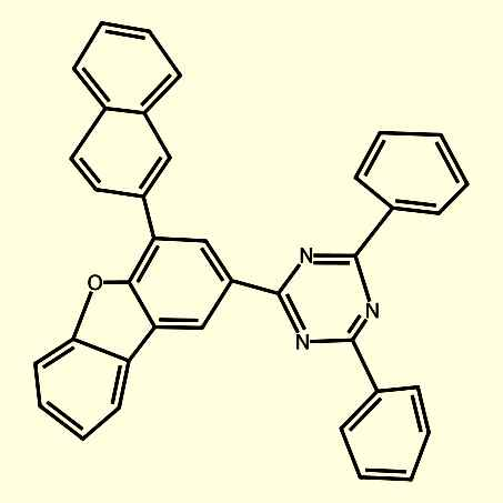 c1ccc(-c2nc(-c3ccccc3)nc(-c3cc(-c4ccc5ccccc5c4)c4oc5ccccc5c4c3)n2)cc1